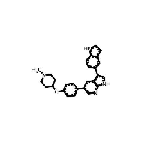 CN1CCC(Oc2ccc(-c3cnc4[nH]cc(-c5ccc6[nH]ccc6c5)c4c3)cc2)CC1